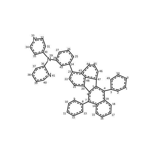 c1ccc(-c2c3c(c(-c4ccccc4)c4ccccc24)-c2ccc(-c4cccc(N(c5ccncc5)c5ccccn5)c4)c4cccc-3c24)cc1